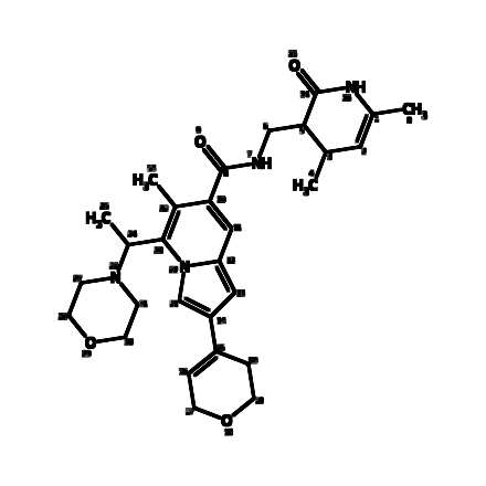 CC1=CC(C)C(CNC(=O)c2cc3cc(C4=CCOCC4)cn3c(C(C)N3CCOCC3)c2C)C(=O)N1